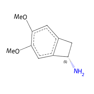 COc1cc2c(cc1OC)[C@@H](N)C2